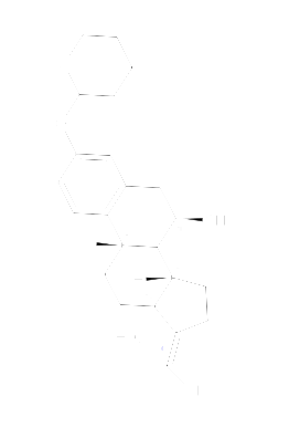 C/C=C1\CC[C@H]2[C@@H]3[C@H](C)Cc4cc(OC5CCCCO5)ccc4[C@H]3CC[C@]12C